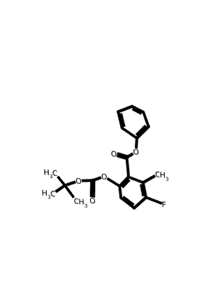 Cc1c(F)ccc(OC(=O)OC(C)(C)C)c1C(=O)Oc1ccccc1